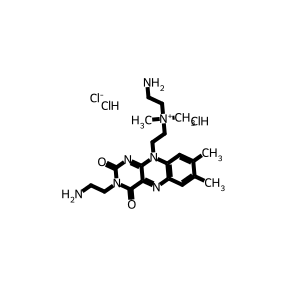 Cc1cc2nc3c(=O)n(CCN)c(=O)nc-3n(CC[N+](C)(C)CCN)c2cc1C.Cl.Cl.[Cl-]